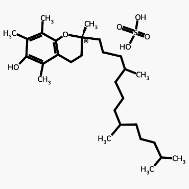 Cc1c(C)c2c(c(C)c1O)CC[C@@](C)(CCCC(C)CCCC(C)CCCC(C)C)O2.O=S(=O)(O)O